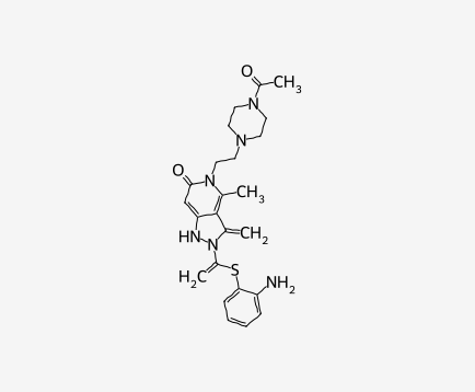 C=C(Sc1ccccc1N)N1Nc2cc(=O)n(CCN3CCN(C(C)=O)CC3)c(C)c2C1=C